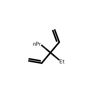 C=CC(C=C)(CC)CCC